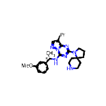 COc1cccc([C@H](C)Nc2nc(N3CCCC34CCNCC4)nc3c(C(C)C)cnn23)c1